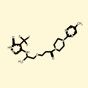 Cc1cnc(N2CCN(C(=O)CCOCC(C)Nc3cn[nH]c(=O)c3C(F)(F)F)CC2)nc1